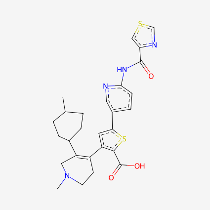 CC1CCC(C2=C(c3cc(-c4ccc(NC(=O)c5cscn5)nc4)sc3C(=O)O)CCN(C)C2)CC1